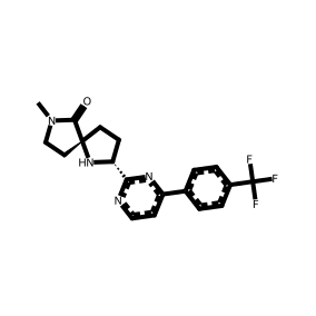 CN1CC[C@]2(CC[C@H](c3nccc(-c4ccc(C(F)(F)F)cc4)n3)N2)C1=O